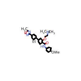 CCc1cc(-c2noc(C)n2)ccc1-c1ccc(C(=O)Nc2ccc(OC)cc2)c(OCCN(C)C)c1